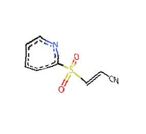 N#CC=CS(=O)(=O)c1ccccn1